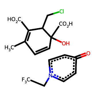 CC1=C(C(=O)O)C(CCl)C(O)(C(=O)O)C=C1.O=c1ccn(CC(F)(F)F)cc1